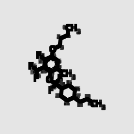 CCCCOc1cc(C)c(OC(F)(F)C2CCC(CCC)CC2)c(C(F)F)c1F